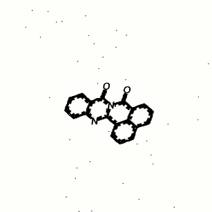 O=c1c2ccccc2nc2c3cccc4cccc(c(=O)n12)c43